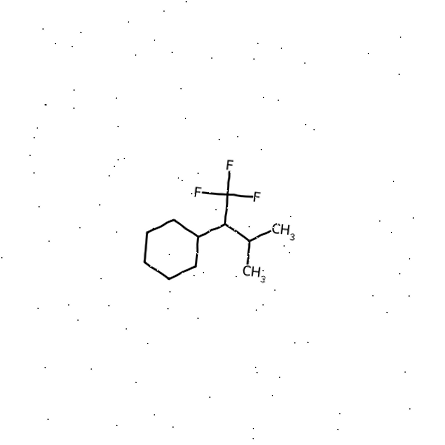 CC(C)C(C1CCCCC1)C(F)(F)F